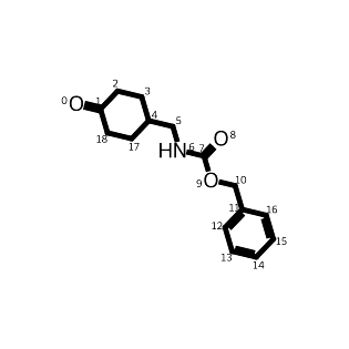 O=C1CCC(CNC(=O)OCc2ccccc2)CC1